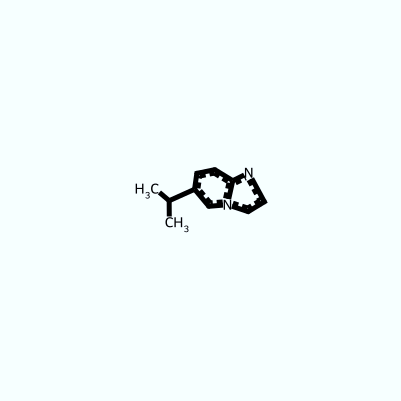 CC(C)c1ccc2nccn2c1